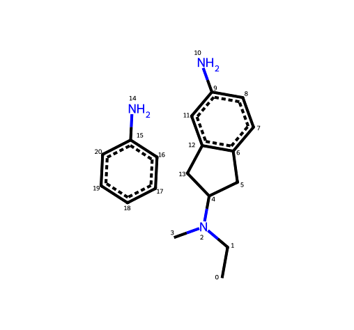 CCN(C)C1Cc2ccc(N)cc2C1.Nc1ccccc1